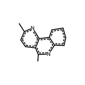 Cc1ccc2c(C)nc3ccccc3c2n1